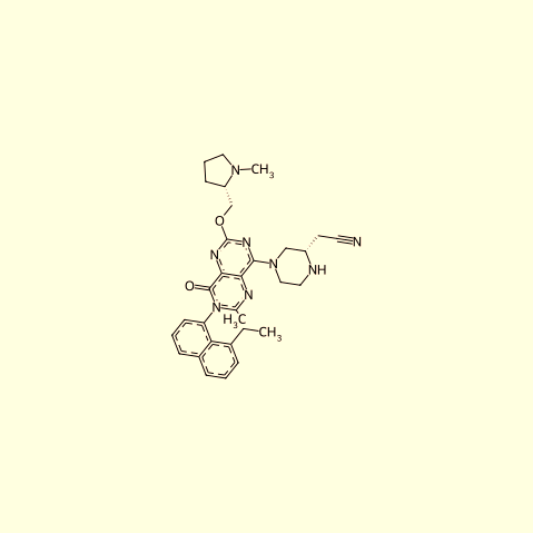 CCc1cccc2cccc(-n3c(C)nc4c(N5CCN[C@@H](CC#N)C5)nc(OC[C@@H]5CCCN5C)nc4c3=O)c12